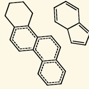 C1=CC2=CC=CC2C=C1.c1ccc2c(c1)ccc1c3c(ccc12)CCCC3